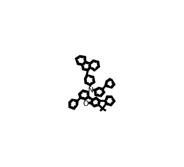 CC1(C)c2ccccc2-c2cc3c(cc21)oc1c(-c2ccccc2)ccc(N(c2ccc(-c4cc5ccccc5c5ccccc45)cc2)c2cccc(-c4ccccc4)c2)c13